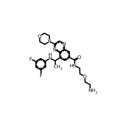 CC(Nc1cc(F)cc(F)c1)c1cc(C(=O)NCCOCCN)cc2ncc(N3CCOCC3)nc12